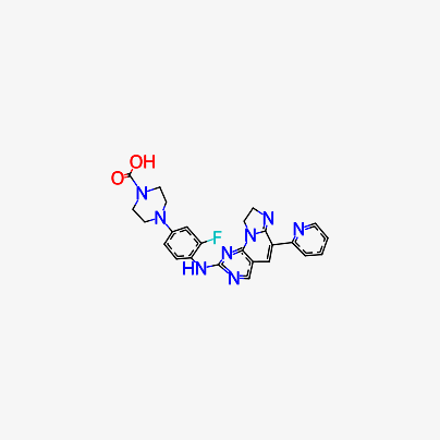 O=C(O)N1CCN(c2ccc(Nc3ncc4c(n3)N3CCN=C3C(c3ccccn3)=C4)c(F)c2)CC1